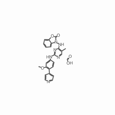 COc1cc(Nc2ncc(C)c(Nn3c(=O)oc4ccccc43)n2)ccc1-c1ccncc1.O=CO